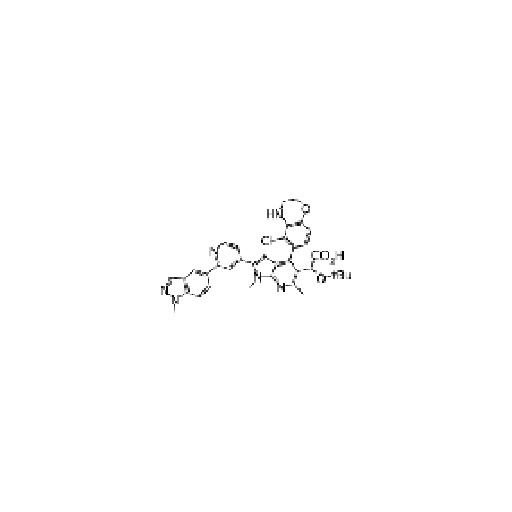 Cc1nc2c(cc(-c3ccnc(-c4ccc5c(cnn5C)c4)c3)n2C)c(-c2ccc3c(c2Cl)NCCO3)c1[C@H](OC(C)(C)C)C(=O)O